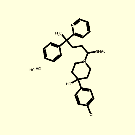 CC(=O)NC(CCC(C)(c1ccccc1)c1ccccn1)N1CCC(O)(c2ccc(Cl)cc2)CC1.Cl.Cl